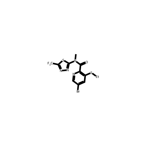 CCSc1cc(Br)cnc1C(=O)N(C)c1nnc(C(F)(F)F)s1